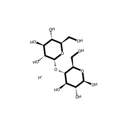 OC[C@H]1O[C@H](O[C@H]2[C@H](O)[C@@H](O)[C@H](O)O[C@@H]2CO)[C@H](O)[C@@H](O)[C@@H]1O.[H+]